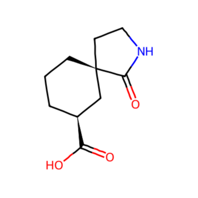 O=C(O)[C@H]1CCC[C@]2(CCNC2=O)C1